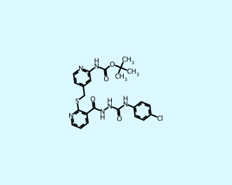 CC(C)(C)OC(=O)Nc1cc(CSc2ncccc2C(=O)NNC(=O)Nc2ccc(Cl)cc2)ccn1